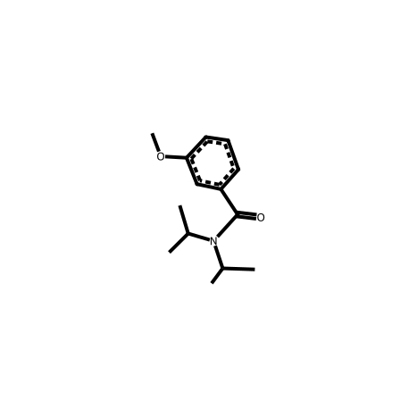 COc1cccc(C(=O)N(C(C)C)C(C)C)c1